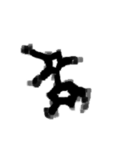 O=C1CC(Br)C(=O)N1c1cc(Cl)cc(Cl)c1